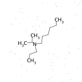 CCCCCCN(CCC)C(C)C